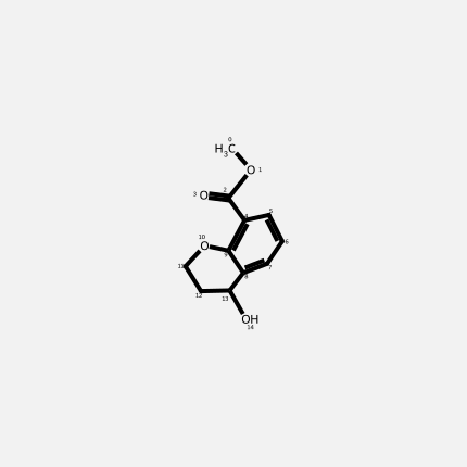 COC(=O)c1cccc2c1OCCC2O